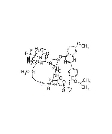 COc1ccc2c(O[C@@H]3C[C@H]4C(=O)N[C@]5(C(=O)NS(=O)(=O)C6(C)CC6)C[C@H]5/C=C\CC[C@H](C)C[C@@H](C)[C@H](N(C(=O)O)C(C)(C)C(F)(F)F)C(=O)N4C3)nc(-c3ccc(OC(C)C)cc3)nc2c1